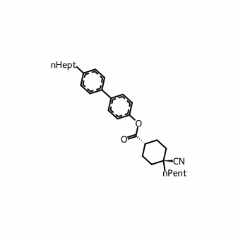 CCCCCCCc1ccc(-c2ccc(OC(=O)[C@H]3CC[C@@](C#N)(CCCCC)CC3)cc2)cc1